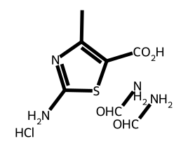 Cc1nc(N)sc1C(=O)O.Cl.NC=O.NC=O